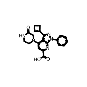 O=C1CN(c2cc(C(=O)O)nc3c2c(C2CCC2)nn3-c2ccccc2)CCN1